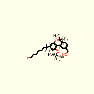 CC(C)(CCCCCCBr)c1cc2c(c(O[Si](C)(C)C(C)(C)C)c1)[C@H]1CC(CO)=CC[C@H]1C(C)(C)O2